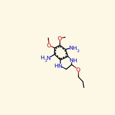 CCCOC1CNc2c(N)c(OC)c(OC)c(N)c2N1